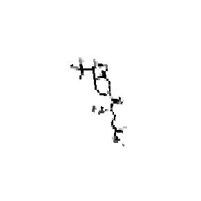 NC(=O)CC[C@H](N)C(=O)N1CCn2c(nnc2C(F)(F)F)C1